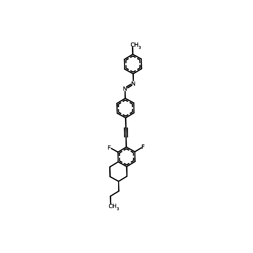 CCCC1CCc2c(cc(F)c(C#Cc3ccc(N=Nc4ccc(C)cc4)cc3)c2F)C1